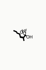 CCCC(=O)C=C(C)C(=O)O.[Hf]